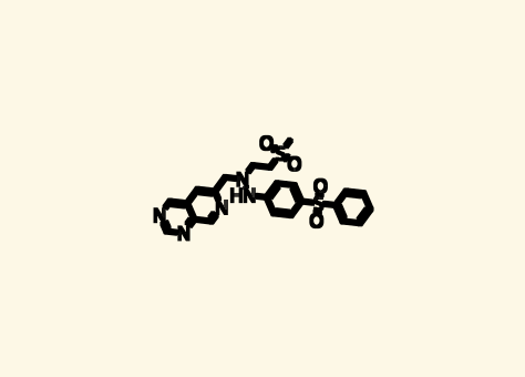 CS(=O)(=O)CCN(Cc1cc2cncnc2cn1)Nc1ccc(S(=O)(=O)c2ccccc2)cc1